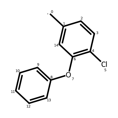 [CH2]c1ccc(Cl)c(Oc2ccccc2)c1